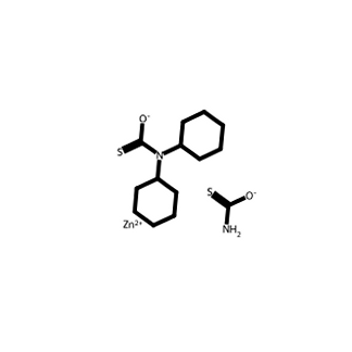 NC([O-])=S.[O-]C(=S)N(C1CCCCC1)C1CCCCC1.[Zn+2]